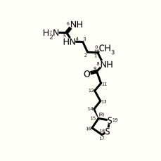 C[C@H](CCNC(=N)N)NC(=O)CCCC[C@@H]1CCSS1